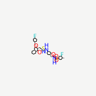 Cc1ccc(S(=O)(=O)NC(=O)Cc2ccc(NC3=NC(=O)C(=Cc4cc5ccccc5cc4OCc4ccc(F)cc4)S3)cc2)cc1F